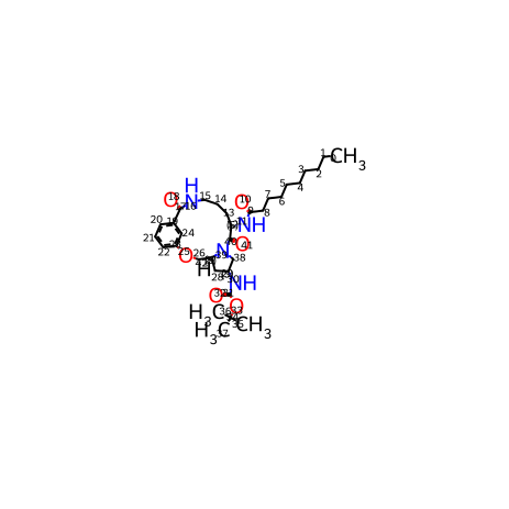 CCCCCCCCCC(=O)N[C@H]1CCCNC(=O)c2cccc(c2)OC[C@@H]2C[C@H](NC(=O)OC(C)(C)C)CN2C1=O